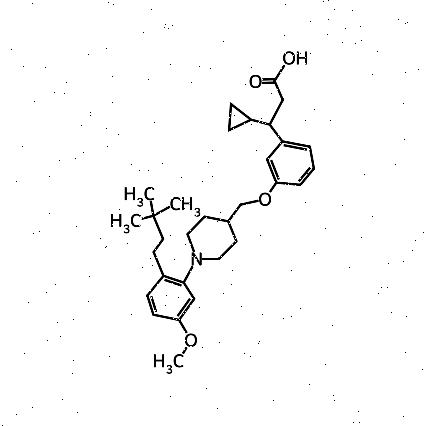 COc1ccc(CCC(C)(C)C)c(N2CCC(COc3cccc(C(CC(=O)O)C4CC4)c3)CC2)c1